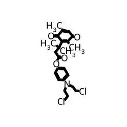 CC1=CC(=O)C(C)=C(C(C)(C)CC(=O)Oc2ccc(N(CCCl)CCCl)cc2)C1=O